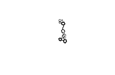 COc1cccc(CCC2CCN(C(=O)C[S+]([O-])c3ccccc3-c3ccccc3)CC2)c1